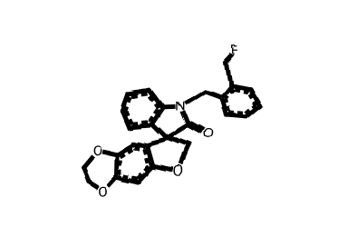 O=C1N(Cc2ccccc2CF)c2ccccc2C12COc1cc3c(cc12)OCCO3